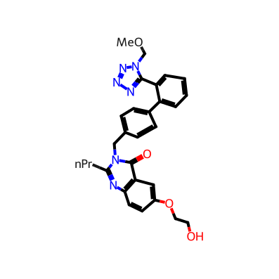 CCCc1nc2ccc(OCCO)cc2c(=O)n1Cc1ccc(-c2ccccc2-c2nnnn2COC)cc1